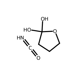 N=C=O.OC1(O)CCCO1